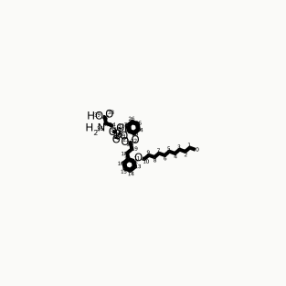 CCCCCCCCCCCOc1ccccc1CCC(=O)Oc1ccccc1OP(=O)(O)OC[C@H](N)C(=O)O